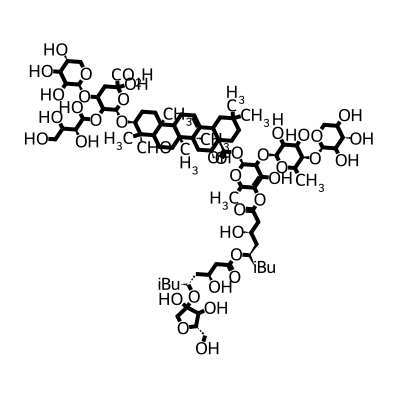 CC[C@H](C)[C@H](C[C@H](O)CC(=O)OC1=C(O)C(O[C@@H]2OC(C)[C@H](O[C@H]3OCC(O)[C@H](O)C3O)C(O)C2O)[C@H](OC(=O)[C@]23CCC(C)(C)CC2C2=CCC4[C@@]5(C)CC[C@H](O[C@@H]6OC(O)(C(=O)O)CC(O[C@@H]7OC[C@@H](O)C(O)C7O)C6OC(O)[C@@H](O)C(O)CO)[C@@](C)(C=O)C5CC[C@@]4(C)[C@]2(C)C[C@H]3O)OC1C)OC(=O)C[C@@H](O)C[C@H](OC1(O)CO[C@@H](CO)C1O)[C@@H](C)CC